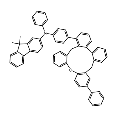 CC1(C)c2ccccc2-c2ccc(N(c3ccccc3)c3ccc(-c4cccc5c4Cc4ccccc4Oc4ccc(-c6ccccc6)cc4Cc4ccccc4-5)cc3)cc21